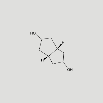 OC1C[C@H]2CC(O)C[C@H]2C1